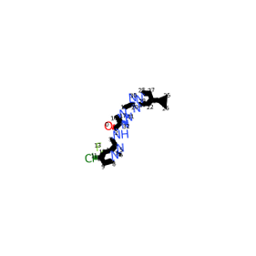 O=C(NCc1ncn2ccc(Cl)c(F)c12)c1cn(Cc2nc3cc(C4CC4)ccn3n2)nn1